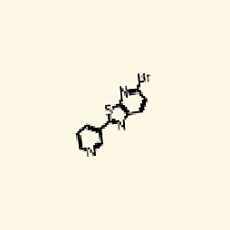 Brc1ccc2nc(-c3cccnc3)sc2n1